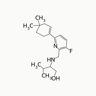 CC(C)C(CO)NCc1nc(C2=CCC(C)(C)CC2)ccc1F